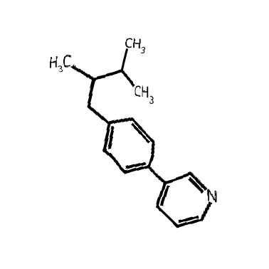 CC(C)C(C)Cc1ccc(-c2cccnc2)cc1